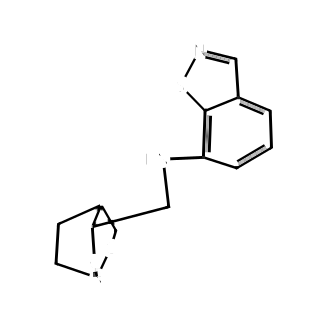 c1cc(NCC2CN3CCC2CC3)c2sncc2c1